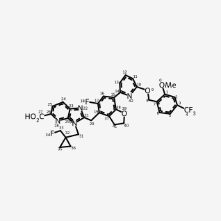 COc1cc(C(F)(F)F)ccc1COc1cccc(-c2cc(F)c(Cc3nc4ccc(C(=O)O)nc4n3CC3(CF)CC3)c3c2OCC3)n1